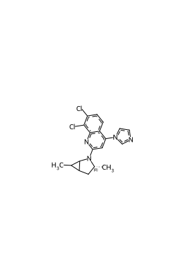 CC1C2C[C@@H](C)N(c3cc(-n4ccnc4)c4ccc(Cl)c(Cl)c4n3)C12